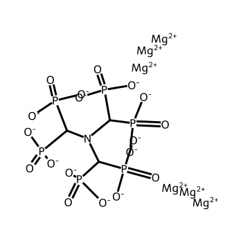 O=P([O-])([O-])C(N(C(P(=O)([O-])[O-])P(=O)([O-])[O-])C(P(=O)([O-])[O-])P(=O)([O-])[O-])P(=O)([O-])[O-].[Mg+2].[Mg+2].[Mg+2].[Mg+2].[Mg+2].[Mg+2]